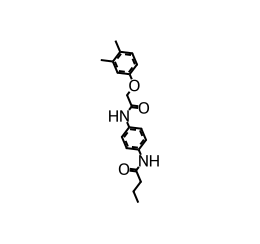 CCCC(=O)Nc1ccc(NC(=O)COc2ccc(C)c(C)c2)cc1